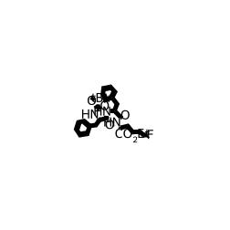 CCOC(=O)C(CCCCF)NC(=O)C(Cc1ccccc1)NC(=O)C(Cc1ccccc1)NC(=O)OC(C)(C)C